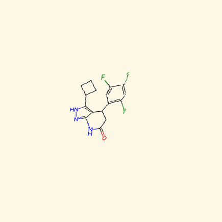 O=C1CC(c2cc(F)c(F)cc2F)c2c(n[nH]c2C2CCC2)N1